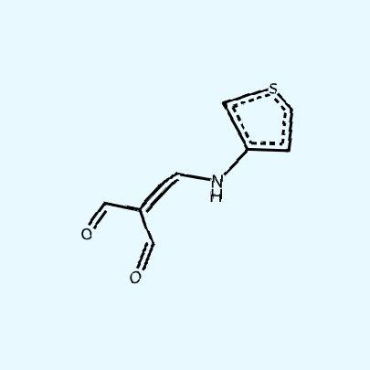 O=CC(C=O)=CNc1ccsc1